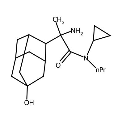 CCCN(C(=O)C(C)(N)C1C2CC3CC1CC(O)(C3)C2)C1CC1